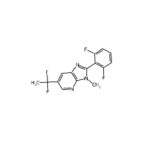 Cn1c(-c2c(F)cccc2F)nc2cc(C(C)(F)F)cnc21